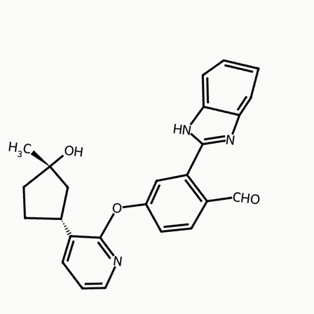 C[C@]1(O)CC[C@@H](c2cccnc2Oc2ccc(C=O)c(-c3nc4ccccc4[nH]3)c2)C1